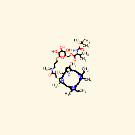 C=Cc1c(C)c2cc3nc(c(C)c4cc(C)c(cc5nc(cc1[nH]2)C(C)=C5CC)[nH]4)[C@@H](CCC(=O)N(C)CCCS[C@@H]1O[C@H](COC(=O)[C@@H](NC(=O)OC(C)(C)C)C(C)C)[C@@H](O)[C@H](O)[C@H]1O)[C@@H]3C